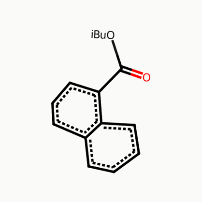 CC(C)COC(=O)c1cccc2ccccc12